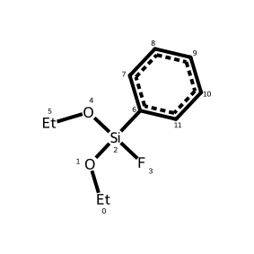 CCO[Si](F)(OCC)c1ccccc1